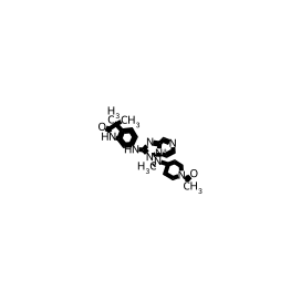 CC(=O)N1CCC(N(C)[N+]23C=CN=CC2=NC(Nc2ccc4c(c2)NC(=O)C4(C)C)=N3)CC1